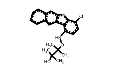 CC(C)(O)C(C)(C)OBc1ccc(Cl)c2sc3cc4ccccc4cc3c12